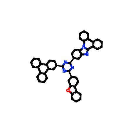 c1ccc2c(c1)oc1cc(-c3nc(-c4ccc5c(c4)nc4c6ccccc6c6ccccc6n54)nc(-c4ccc5c6ccccc6c6ccccc6c5c4)n3)ccc12